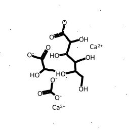 CC(O)C(=O)[O-].O=C([O-])C(O)C(O)C(O)C(O)CO.O=C([O-])[O-].[Ca+2].[Ca+2]